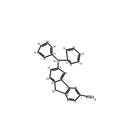 Nc1ccc2c(c1)-c1cc(N(c3ccccc3)c3ccccc3)ccc1C2